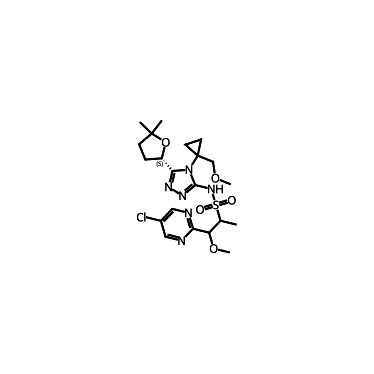 COCC1(n2c(NS(=O)(=O)C(C)C(OC)c3ncc(Cl)cn3)nnc2[C@@H]2CCC(C)(C)O2)CC1